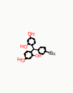 CCC(C)c1ccc(C(c2ccc(O)cc2O)c2ccc(O)cc2O)cc1